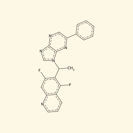 CC(c1c(F)cc2ncccc2c1F)n1cnc2ncc(-c3ccccc3)nc21